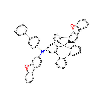 c1ccc(-c2ccc(N(c3ccc4c(c3)-c3ccccc3-c3ccccc3C43c4ccccc4-c4c3ccc3c4oc4ccccc43)c3ccc4c(c3)oc3ccccc34)cc2)cc1